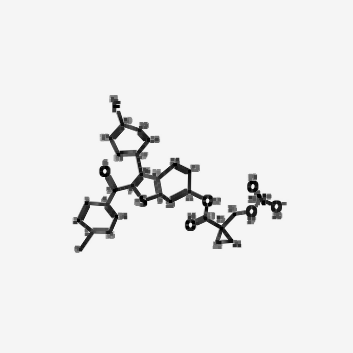 Cc1ccc(C(=O)c2sc3cc(OC(=O)C4(CO[N+](=O)[O-])CC4)ccc3c2-c2ccc(F)cc2)cc1